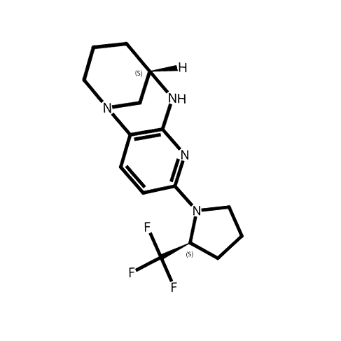 FC(F)(F)[C@@H]1CCCN1c1ccc2c(n1)N[C@H]1CCCN2C1